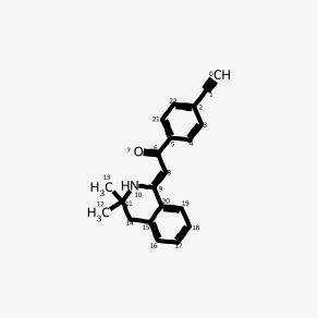 C#Cc1ccc(C(=O)/C=C2\NC(C)(C)Cc3ccccc32)cc1